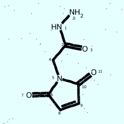 NNC(=O)CN1C(=O)C=CC1=O